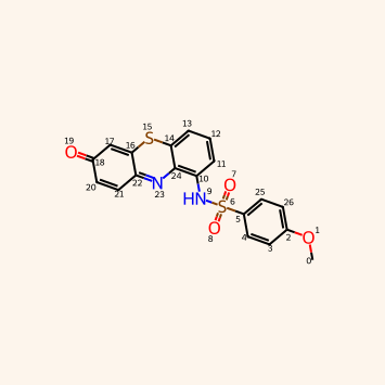 COc1ccc(S(=O)(=O)Nc2cccc3sc4cc(=O)ccc-4nc23)cc1